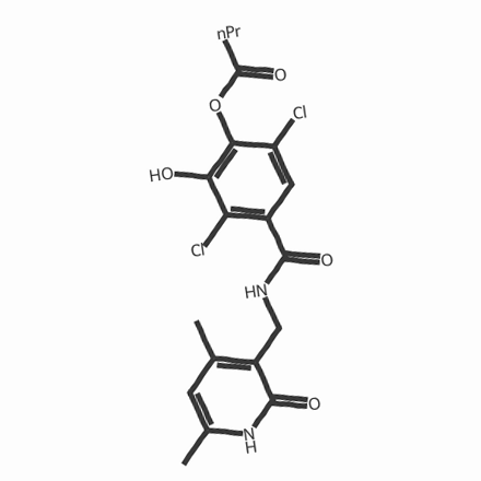 CCCC(=O)Oc1c(Cl)cc(C(=O)NCc2c(C)cc(C)[nH]c2=O)c(Cl)c1O